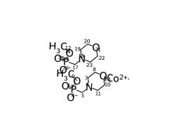 COP(=O)([O-])CN1CCOCC1.COP(=O)([O-])CN1CCOCC1.[Co+2]